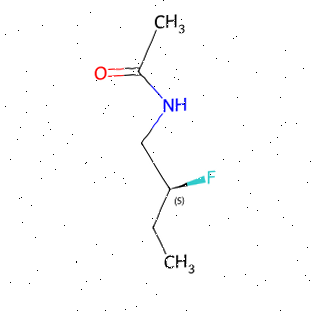 CC[C@H](F)CNC(C)=O